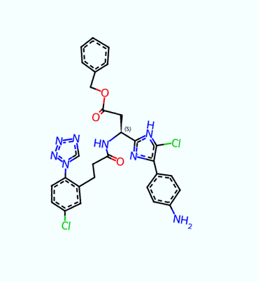 Nc1ccc(-c2nc([C@H](CC(=O)OCc3ccccc3)NC(=O)CCc3cc(Cl)ccc3-n3cnnn3)[nH]c2Cl)cc1